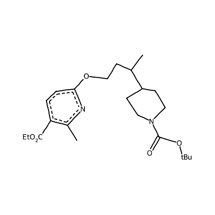 CCOC(=O)c1ccc(OCCC(C)C2CCN(C(=O)OC(C)(C)C)CC2)nc1C